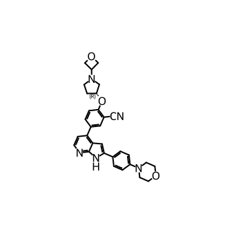 N#Cc1cc(-c2ccnc3[nH]c(-c4ccc(N5CCOCC5)cc4)cc23)ccc1O[C@@H]1CCN(C2COC2)C1